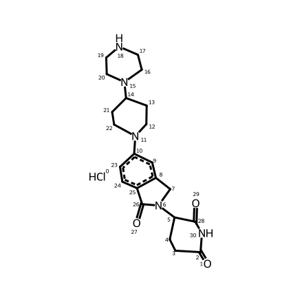 Cl.O=C1CCC(N2Cc3cc(N4CCC(N5CCNCC5)CC4)ccc3C2=O)C(=O)N1